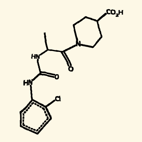 CC(NC(=O)Nc1ccccc1Cl)C(=O)N1CCC(C(=O)O)CC1